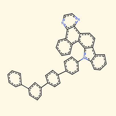 c1ccc(-c2cccc(-c3ccc(-c4ccc(-n5c6ccccc6c6ccc7c8nccnc8c8ccccc8c7c65)cc4)cc3)c2)cc1